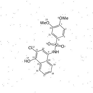 COc1ccc(S(=O)(=O)Nc2cc(Cl)c(O)c3ccccc23)cc1OC